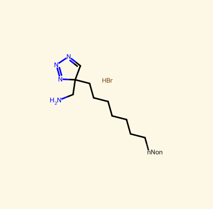 Br.CCCCCCCCCCCCCCCCC1(CN)C=NN=N1